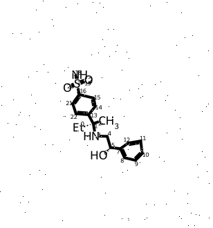 CC[C@](C)(NC[C@@H](O)c1ccccc1)c1ccc(S(N)(=O)=O)cc1